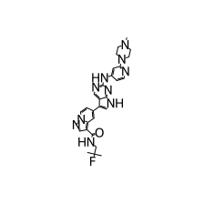 CN1CCN(c2cc(Nc3ncc4c(-c5ccn6ncc(C(=O)NCC(C)(C)F)c6c5)c[nH]c4n3)ccn2)CC1